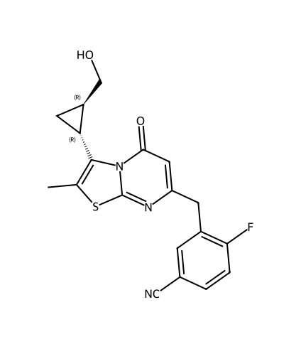 Cc1sc2nc(Cc3cc(C#N)ccc3F)cc(=O)n2c1[C@@H]1C[C@H]1CO